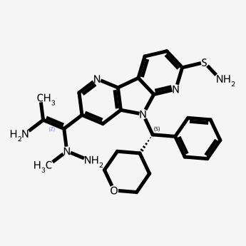 C/C(N)=C(\c1cnc2c3ccc(SN)nc3n([C@H](c3ccccc3)C3CCOCC3)c2c1)N(C)N